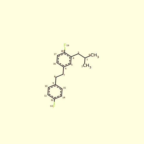 CC(C)Cc1cc(CCc2ccc(F)cc2)ccc1F